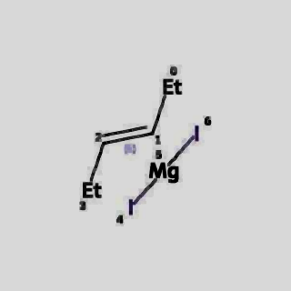 [CH2]C/C=C/CC.[I][Mg][I]